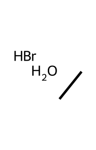 Br.CC.O